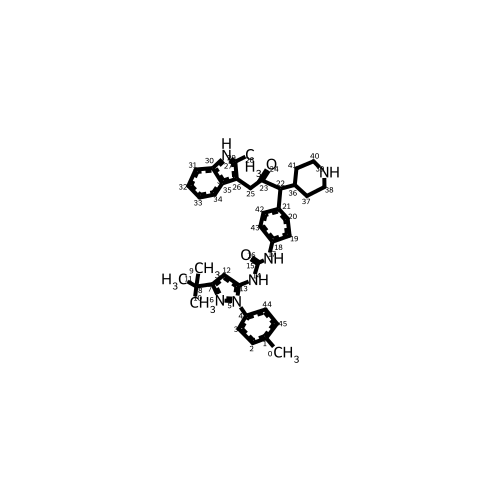 Cc1ccc(-n2nc(C(C)(C)C)cc2NC(=O)Nc2ccc(C(C(=O)Cc3c(C)[nH]c4ccccc34)C3CCNCC3)cc2)cc1